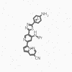 CC(C)Nc1cc(-c2ccc3cc(C#N)cnn23)ncc1-c1nnc(C23CCC(N)(CC2)CC3)s1